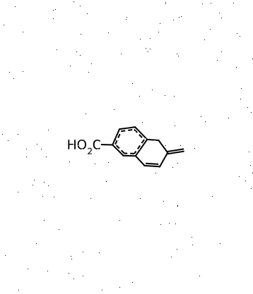 C=C1C=Cc2cc(C(=O)O)ccc2C1